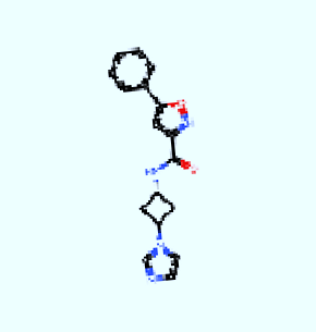 O=C(N[C@H]1C[C@H](n2ccnc2)C1)c1cc(-c2ccccc2)on1